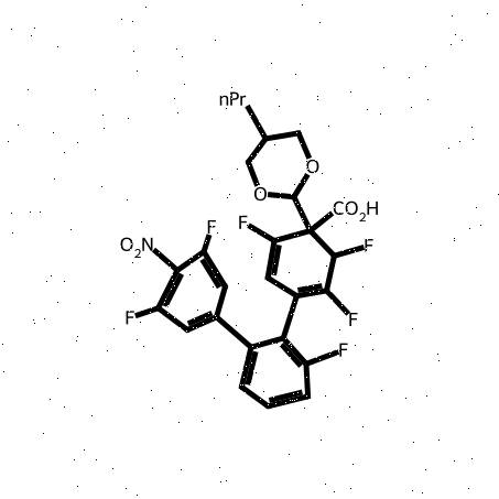 CCCC1COC(C2(C(=O)O)C(F)=CC(c3c(F)cccc3-c3cc(F)c([N+](=O)[O-])c(F)c3)=C(F)C2F)OC1